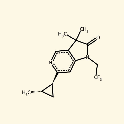 C[C@H]1C[C@@H]1c1cc2c(cn1)C(C)(C)C(=O)N2CC(F)(F)F